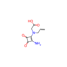 C=CCN(CC(=O)O)c1c(N)c(=O)c1=O